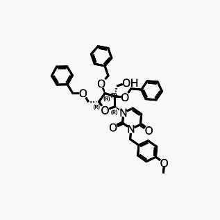 COc1ccc(Cn2c(=O)ccn([C@@H]3O[C@H](COCc4ccccc4)[C@@H](OCc4ccccc4)[C@@]3(CO)OCc3ccccc3)c2=O)cc1